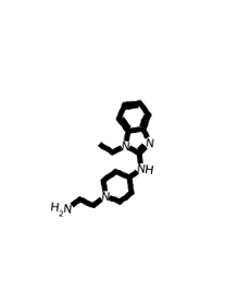 CCn1c(NC2CCN(CCN)CC2)nc2ccccc21